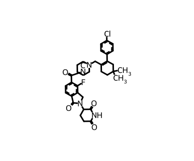 CC1(C)CCC(CN2CC3CCC2CN3C(=O)c2ccc3c(c2F)CN(C2CCC(=O)NC2=O)C3=O)=C(c2ccc(Cl)cc2)C1